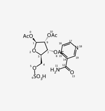 CC(=O)O[C@@H]1O[C@H](COS(=O)(=O)O)[C@@H](OC(C)=O)[C@H]1OC(C)=O.NC(=O)c1cccnc1